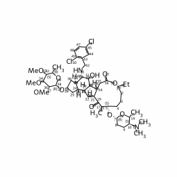 CC[C@H]1CCC[C@H](O[C@H]2CC[C@H](N(C)C)C(C)O2)[C@@H](C)C(=O)C2=C[C@H]3[C@@H]4C[C@H](O[C@@H]5OC(C)[C@H](OC)C(OC)C5OC)C[C@H]4[C@H](NCc4cc(Cl)ccc4Cl)[C@@H](O)[C@H]3[C@@H]2CC(=O)O1